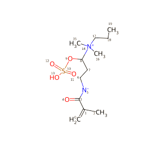 C=C(C)C(=O)[N-]CCC(OS(=O)(=O)O)[N+](C)(C)CCC